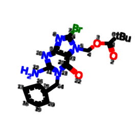 CC(C)(C)C(=O)OCn1c(Br)nc2nc(N)n(Cc3ccccc3)c(=O)c21